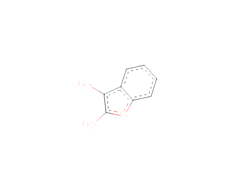 Oc1oc2ccc[c]c2c1O